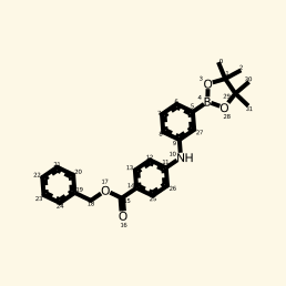 CC1(C)OB(c2cccc(Nc3ccc(C(=O)OCc4ccccc4)cc3)c2)OC1(C)C